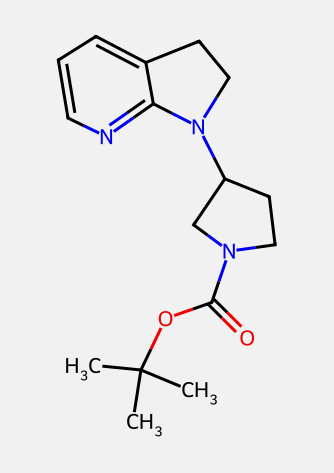 CC(C)(C)OC(=O)N1CCC(N2CCc3cccnc32)C1